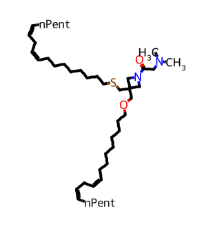 CCCCC/C=C\C/C=C\CCCCCCCCOCC1(CSCCCCCCCC/C=C\C/C=C\CCCCC)CN(C(=O)CN(C)C)C1